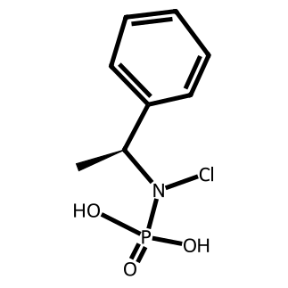 C[C@@H](c1ccccc1)N(Cl)P(=O)(O)O